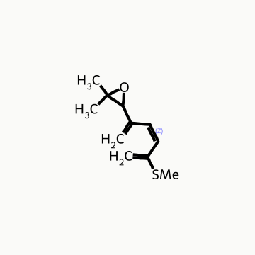 C=C(/C=C\C(=C)C1OC1(C)C)SC